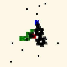 Cl.N#Cc1ccc(-c2ccccc2)c(OC(F)(F)F)c1